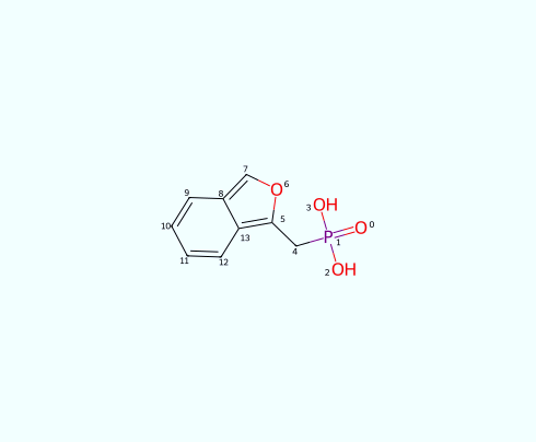 O=P(O)(O)Cc1occ2ccccc12